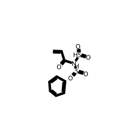 C=CC(=O)N([SH](=O)=O)[SH](=O)=O.c1ccccc1